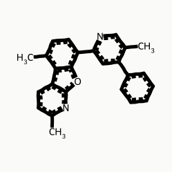 Cc1ccc2c(n1)oc1c(-c3cc(-c4ccccc4)c(C)cn3)ccc(C)c12